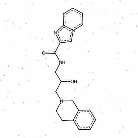 O=C(NCC(O)CN1CCc2ccccc2C1)c1cn2ccccc2n1